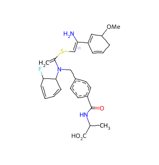 C=C(S/C=C(\N)C1=CC(OC)CC=C1)N(Cc1ccc(C(=O)NC(C)C(=O)O)cc1)C1C=CC=CC1F